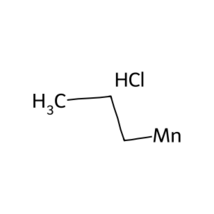 CC[CH2][Mn].Cl